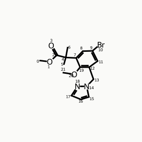 COC(=O)C(C)(C)c1cc(Br)cc(Cn2cccn2)c1OC